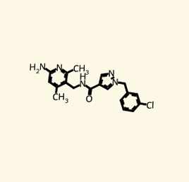 Cc1cc(N)nc(C)c1CNC(=O)c1cnn(Cc2cccc(Cl)c2)c1